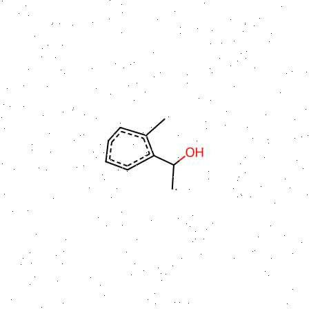 [CH2]C(O)c1ccccc1C